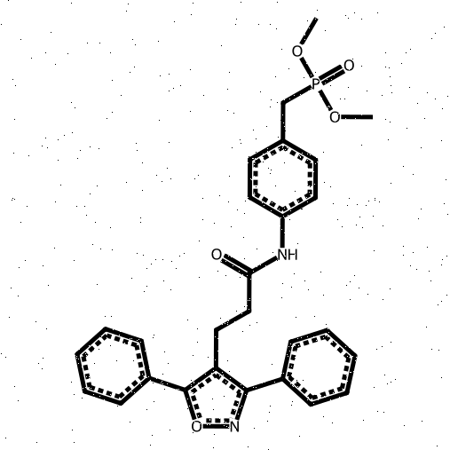 COP(=O)(Cc1ccc(NC(=O)CCc2c(-c3ccccc3)noc2-c2ccccc2)cc1)OC